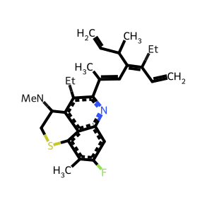 C=C/C(CC)=C(\C=C(/C)c1nc2cc(F)c(C)c3c2c(c1CC)C(NC)CS3)C(C)C=C